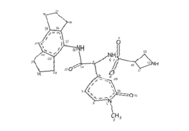 Cn1ccc(C(NS(=O)(=O)C2CNC2)C(=O)Nc2c3c(cc4c2CCC4)CCC3)cc1=O